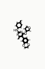 Cc1nc(NC2CCC(C)CC2)nc(OC2CCOC2)c1-c1ccc2c(c1)OCCO2